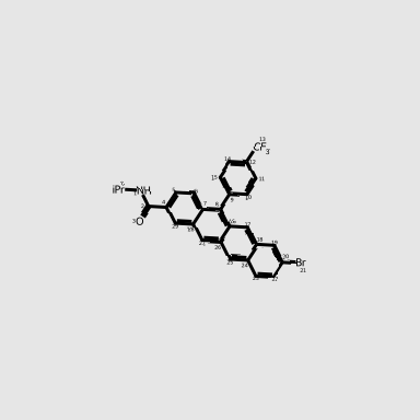 CC(C)NC(=O)c1ccc2c(-c3ccc(C(F)(F)F)cc3)c3cc4cc(Br)ccc4cc3cc2c1